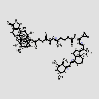 C=C1/C(=C\C=C2/CCC[C@]3(C)C2CCC3[C@H](C)/C=C/[C@H](OC(=O)CCC/C(C)=N/NC(=O)CCC(=O)O[C@]23C[C@]2(C(C)C)[C@H](O)[C@H]2O[C@@]24[C@@]32O[C@@H]2C[C@@H]2C3=C(CC[C@]24C)C(=O)OC3)C2CC2)C[C@H](O)C[C@H]1O